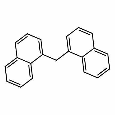 [C](c1cccc2ccccc12)c1cccc2ccccc12